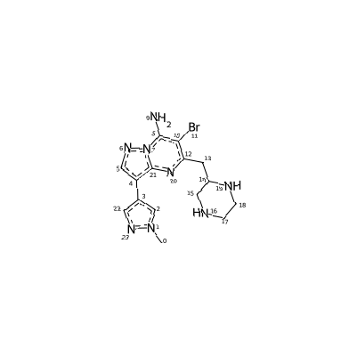 Cn1cc(-c2cnn3c(N)c(Br)c(CC4CNCCN4)nc23)cn1